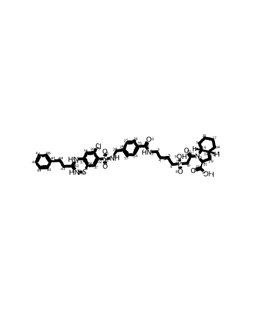 O=C(NCCCCP(=O)(O)CC(=O)N1[C@@H]2CCCC[C@@H]2C[C@H]1C(=O)O)c1ccc(CNS(=O)(=O)c2cc3c(cc2Cl)NC(CCc2ccccc2)NS3)cc1